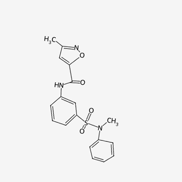 Cc1cc(C(=O)Nc2cccc(S(=O)(=O)N(C)c3ccccc3)c2)on1